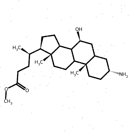 COC(=O)CC[C@@H](C)[C@H]1CCC2C3C(CC[C@@]21C)[C@@]1(C)CC[C@@H](N)CC1C[C@@H]3O